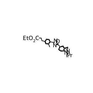 CCOC(=O)CCc1ccc(-c2noc(-c3ccc4c(cnn4C(C)C)c3)n2)c(C)c1